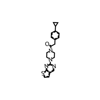 O=C(Cc1ccc(C2CC2)cc1)N1CCN(c2ncc3ccsc3n2)CC1